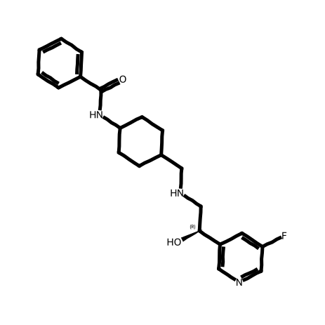 O=C(NC1CCC(CNC[C@H](O)c2cncc(F)c2)CC1)c1ccccc1